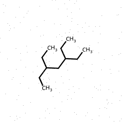 CCC(CC)CC(CC)CC